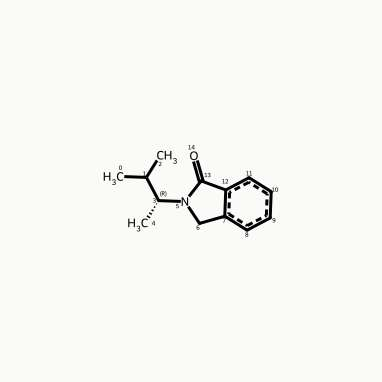 CC(C)[C@@H](C)N1Cc2ccccc2C1=O